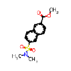 COC(=O)c1ccc2cc(S(=O)(=O)N(C)C)ccc2c1